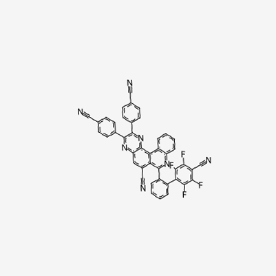 N#Cc1ccc(-c2nc3cc(C#N)c4c(-c5ccccc5-c5c(F)c(F)c(C#N)c(F)c5F)nc5ccccc5c4c3nc2-c2ccc(C#N)cc2)cc1